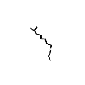 CCC=C=CCCC=CCC(C)C